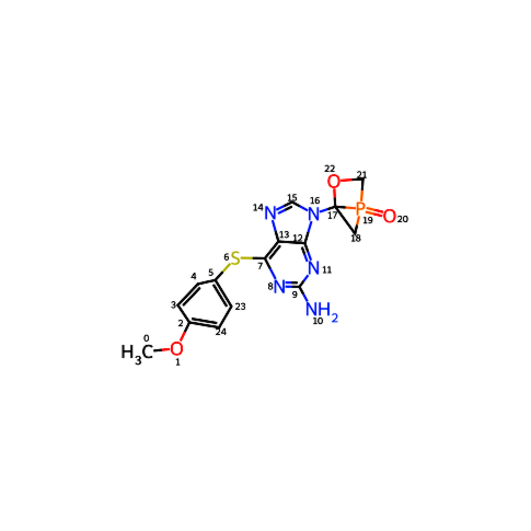 COc1ccc(Sc2nc(N)nc3c2ncn3C23CP2(=O)CO3)cc1